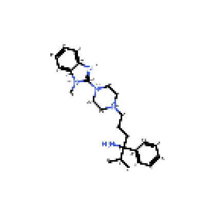 CC(C)C(N)(CCCN1CCN(c2nc3ccccc3n2C)CC1)c1ccccc1